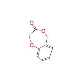 O=C1COc2ccccc2CO1